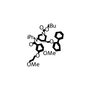 COCCCOc1cc(C(=O)N(C(C)C)C2C[C@H](COc3ccccc3-c3ccccc3)CN(C(=O)OC(C)(C)C)C2)ccc1OC